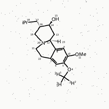 [2H]C([2H])([2H])Oc1cc2c(cc1OC)[C@@H]1C[C@H](O)[C@@H](CC(C)C)CN1CC2